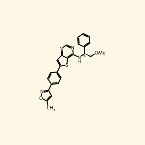 COC[C@@H](Nc1ncnc2cc(-c3ccc(-c4cc(C)on4)cc3)sc12)c1ccccc1